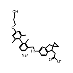 Cc1cc(OCCCO)cc(C)c1-c1cccc(CNc2ccc3c(c2)CC2(CC2)C3CC(=O)[O-])c1C.[Na+]